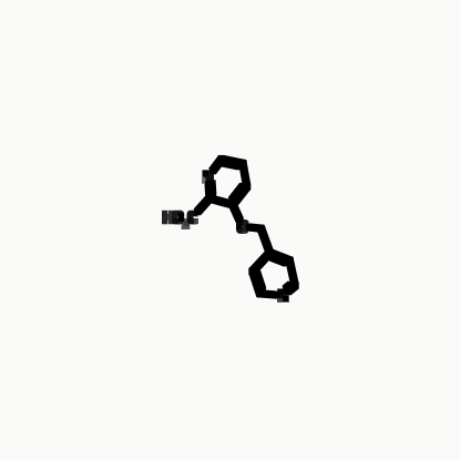 O=C(O)c1ncccc1OCc1ccncc1